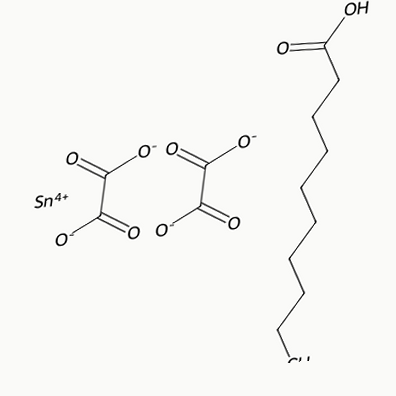 CCCCCCCCCC(=O)O.O=C([O-])C(=O)[O-].O=C([O-])C(=O)[O-].[Sn+4]